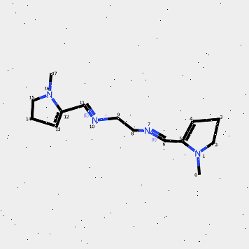 CN1CCC=C1/C=N/CC/N=C/C1=CCCN1C